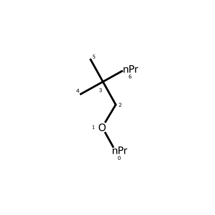 CCCOCC(C)(C)CCC